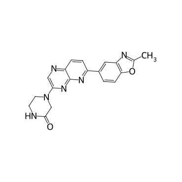 Cc1nc2cc(-c3ccc4ncc(N5CCNC(=O)C5)nc4n3)ccc2o1